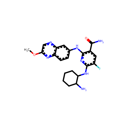 COc1cnc2cc(Nc3nc(NC4CCCCC4N)c(F)cc3C(N)=O)ccc2n1